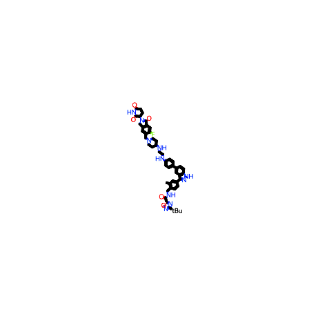 Cc1cc(-c2n[nH]c3ccc(-c4ccc(NCCNC5CCN(Cc6cc7c(cc6F)C(=O)N(C6CCC(=O)NC6=O)C7)CC5)cc4)cc23)ccc1CNC(=O)c1nc(C(C)(C)C)no1